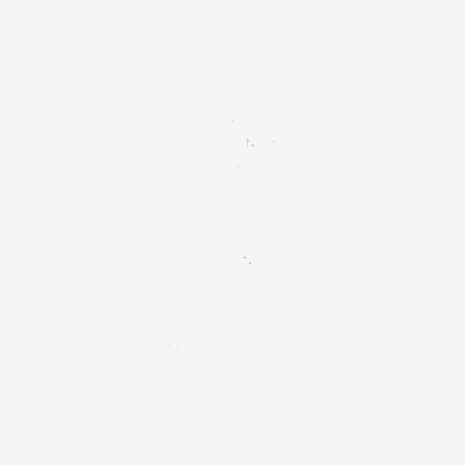 CN(C)C1(c2ccccc2)CCC2(CCN(C(=O)CC3CCOC3)C2)CC1